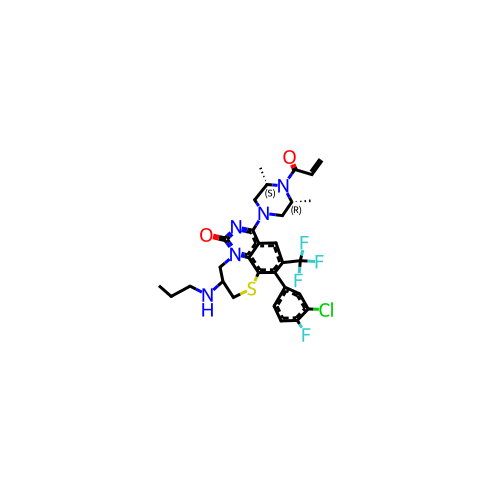 C=CC(=O)N1[C@H](C)CN(c2nc(=O)n3c4c(c(-c5ccc(F)c(Cl)c5)c(C(F)(F)F)cc24)SCC(NCCC)C3)C[C@@H]1C